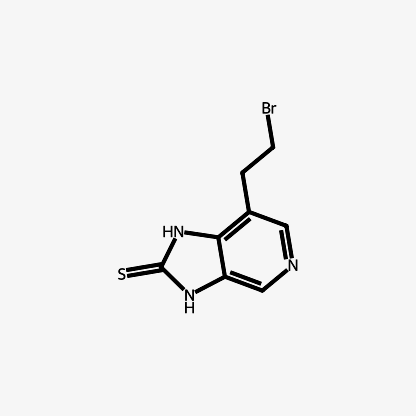 S=c1[nH]c2cncc(CCBr)c2[nH]1